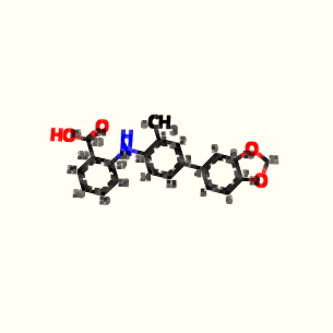 Cc1cc(-c2ccc3c(c2)OCO3)ccc1Nc1ccccc1C(=O)O